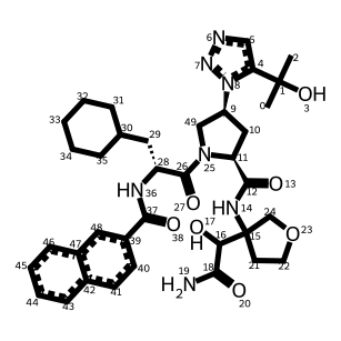 CC(C)(O)c1cnnn1[C@H]1C[C@@H](C(=O)NC2(C(O)C(N)=O)CCOC2)N(C(=O)[C@@H](CC2CCCCC2)NC(=O)c2ccc3ccccc3c2)C1